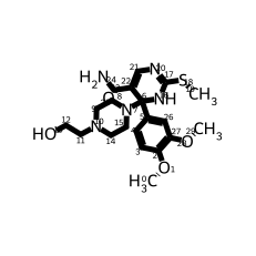 COc1ccc(C2(N3CCN(CCO)CC3)NC(SC)=NC=C2C(N)=O)cc1OC